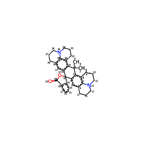 CC1(C)c2c(cc3c4c2CCCN4CCC3)C2(OC(=O)c3ccccc32)c2cc3c4c(c21)CCCN4CCC3